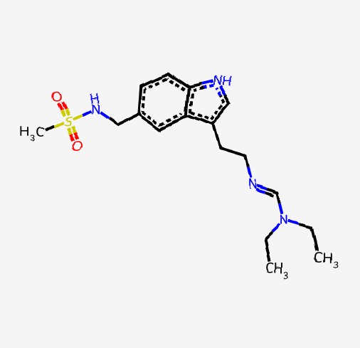 CCN(C=NCCc1c[nH]c2ccc(CNS(C)(=O)=O)cc12)CC